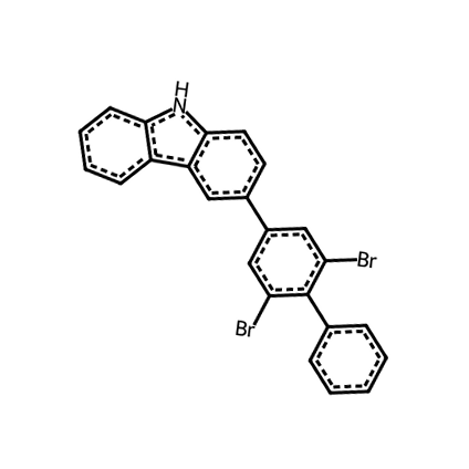 Brc1cc(-c2ccc3[nH]c4ccccc4c3c2)cc(Br)c1-c1ccccc1